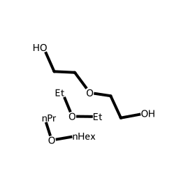 CCCCCCOCCC.CCOCC.OCCOCCO